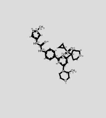 C[C@H]1COCCN1c1cc(C2(S(=O)(=O)C3CC3)CCOCC2)nc(-c2ccc(NC(=O)Nc3cnn(C)c3)cc2)n1